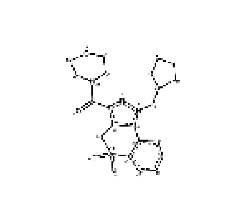 O=C(c1nn(CC2CCCC2)c2c1CS(=O)(=O)c1ccccc1-2)N1CCOCC1